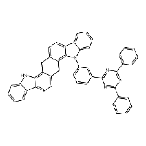 c1ccc(-c2nc(-c3ccccc3)nc(-c3cccc(-n4c5ccccc5c5ccc6c(c54)Cc4ccc5c([nH]c7ccccc75)c4C6)c3)n2)cc1